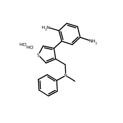 CN(Cc1cscc1-c1cc(N)ccc1N)c1ccccc1.Cl.Cl